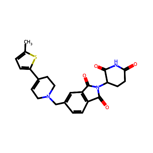 Cc1ccc(C2=CCN(Cc3ccc4c(c3)C(=O)N(C3CCC(=O)NC3=O)C4=O)CC2)s1